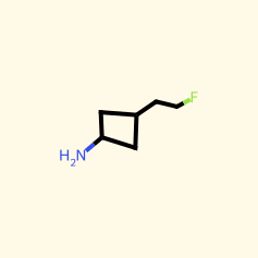 NC1CC(CCF)C1